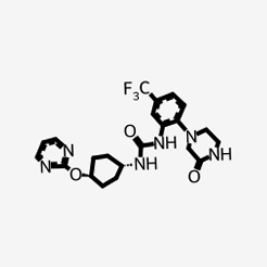 O=C1CN(c2ccc(C(F)(F)F)cc2NC(=O)N[C@H]2CC[C@H](Oc3ncccn3)CC2)CCN1